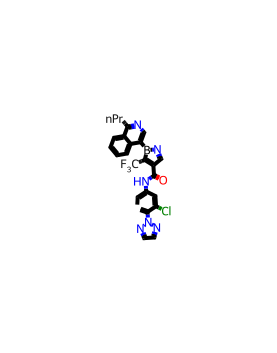 C=C(/C(Cl)=C\C(=C/C)NC(=O)C1=C(C(F)(F)F)B(c2cnc(CCC)c3ccccc23)N=C1)n1nccn1